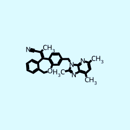 CC(C#N)=C1c2ccccc2COc2cc(Cn3c(C)nc4c(C)cc(C)nc43)ccc21